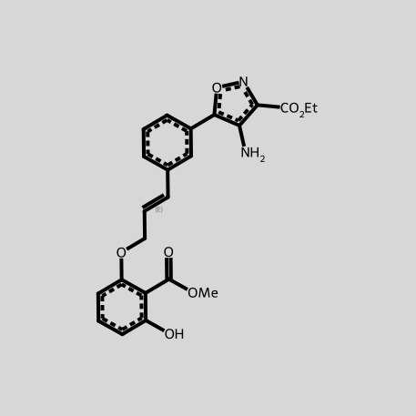 CCOC(=O)c1noc(-c2cccc(/C=C/COc3cccc(O)c3C(=O)OC)c2)c1N